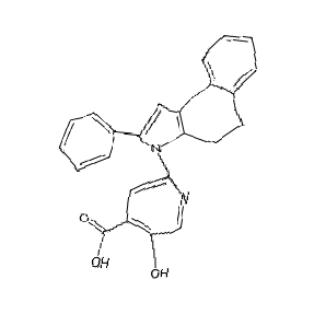 O=C(O)c1cc(-n2c(-c3ccccc3)cc3c2CCc2ccccc2-3)ncc1O